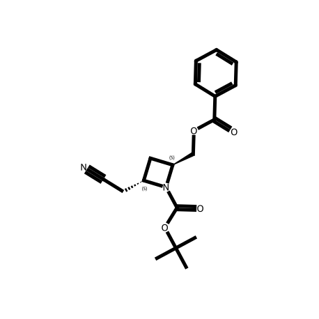 CC(C)(C)OC(=O)N1[C@H](CC#N)C[C@H]1COC(=O)c1ccccc1